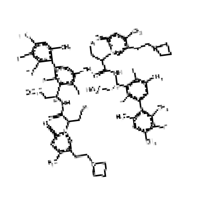 CCOC(=O)C[C@H](NC(=O)C(CC(C)C)n1cc(CCN2CCC2)c(C(F)(F)F)cc1=O)c1c(F)c(C)cc(-c2c(C)cc(C)c(F)c2C)c1F.Cc1cc(C)c(-c2cc(C)c(F)c([C@H](CC(=O)O)NC(=O)C(CC(C)C)n3cc(CCN4CCC4)c(C(F)(F)F)cc3=O)c2F)c(C)c1F